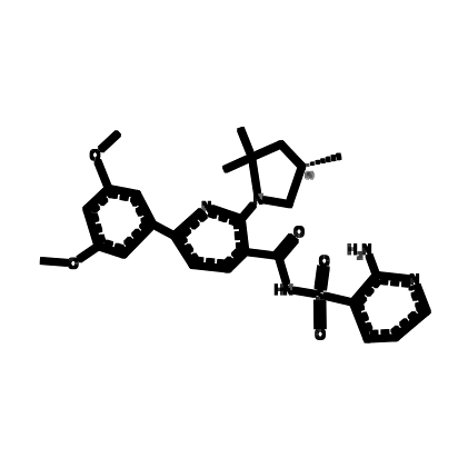 COc1cc(OC)cc(-c2ccc(C(=O)NS(=O)(=O)c3cccnc3N)c(N3C[C@@H](C)CC3(C)C)n2)c1